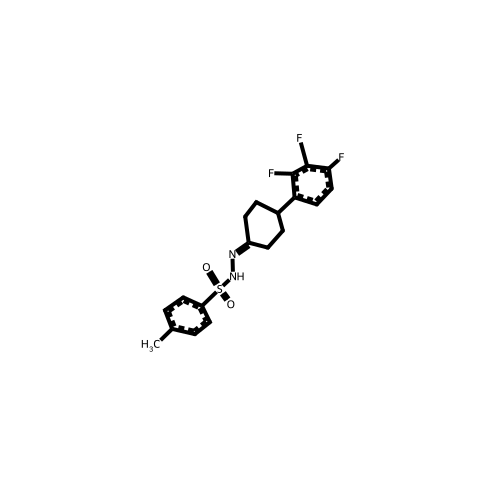 Cc1ccc(S(=O)(=O)NN=C2CCC(c3ccc(F)c(F)c3F)CC2)cc1